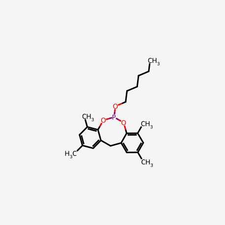 CCCCCCOP1Oc2c(C)cc(C)cc2Cc2cc(C)cc(C)c2O1